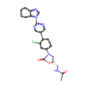 CC(=O)NC[C@H]1CN(c2ccc(-c3cnc(-n4cnc5ccccc54)nc3)c(F)c2)C(=O)O1